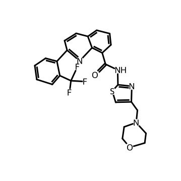 O=C(Nc1nc(CN2CCOCC2)cs1)c1cccc2ccc(-c3ccccc3C(F)(F)F)nc12